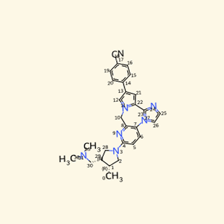 C[C@H]1CN(c2ccc3c(n2)Cn2cc(-c4ccc(C#N)cc4)cc2-c2nccn2-3)C[C@H]1CN(C)C